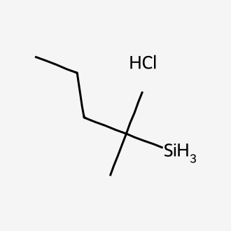 CCCC(C)(C)[SiH3].Cl